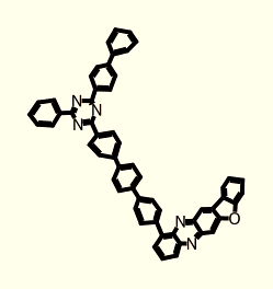 c1ccc(-c2ccc(-c3nc(-c4ccccc4)nc(-c4ccc(-c5ccc(-c6ccc(-c7cccc8nc9cc%10oc%11ccccc%11c%10cc9nc78)cc6)cc5)cc4)n3)cc2)cc1